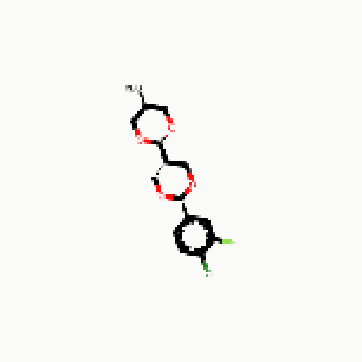 CCCC[C@H]1CO[C@H]([C@H]2CO[C@H](c3ccc(Cl)c(F)c3)OC2)OC1